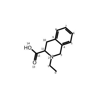 CCN1Cc2ccccc2CC1C(=O)O